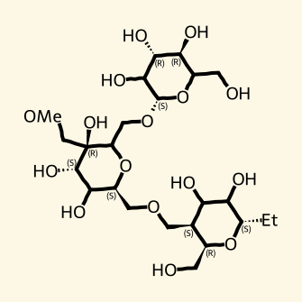 CC[C@@H]1O[C@@H](CO)[C@@H](COC[C@@H]2OC(CO[C@H]3OC(CO)[C@H](O)[C@@H](O)C3O)[C@@](O)(COC)[C@@H](O)C2O)C(O)C1O